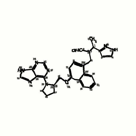 CC(c1cc[nH]n1)N(C=O)Cc1ccc(OC[C@H]2CCCN2c2ncnc3[nH]cnc23)c2ccccc12